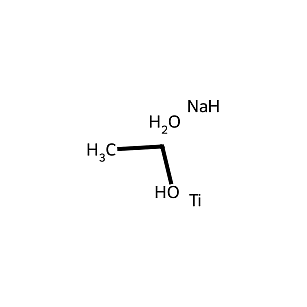 CCO.O.[NaH].[Ti]